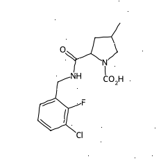 CC1CC(C(=O)NCc2cccc(Cl)c2F)N(C(=O)O)C1